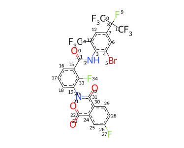 O=C(Nc1c(Br)cc(C(F)(C(F)(F)F)C(F)(F)F)cc1C(F)(F)F)c1cccc(-n2oc(=O)c3cc(F)ccc3c2=O)c1F